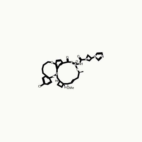 CO[C@H]1/C=C/C[C@H](C)CS(=O)(NC(=O)N2CC(n3ccnc3)C2)=NC(=O)c2ccc3c(c2)N(Cc2ccc(Cl)cc2CCCCO3)C[C@@H]2CC[C@H]21